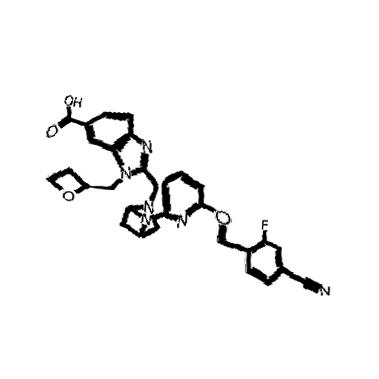 N#Cc1ccc(COc2cccc(N3C4CC3N(Cc3nc5ccc(C(=O)O)cc5n3C[C@@H]3CCO3)C4)n2)c(F)c1